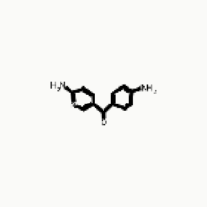 Nc1ccc(C(=O)c2ccc(N)nc2)cc1